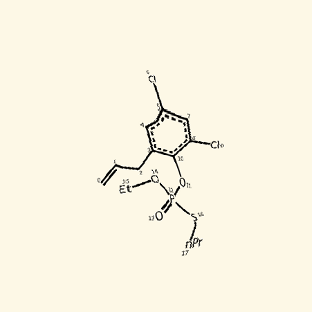 C=CCc1cc(Cl)cc(Cl)c1OP(=O)(OCC)SCCC